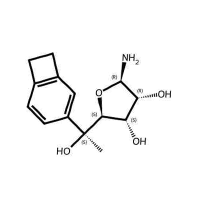 C[C@](O)(c1ccc2c(c1)CC2)[C@H]1O[C@@H](N)[C@H](O)[C@@H]1O